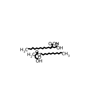 C=C(CC(=O)O)C(=O)OCCCCCCCCCCCC.CCCCCCCCCCCCC=C(CC(=O)O)C(=O)O